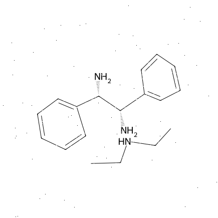 CCNCC.N[C@@H](c1ccccc1)[C@@H](N)c1ccccc1